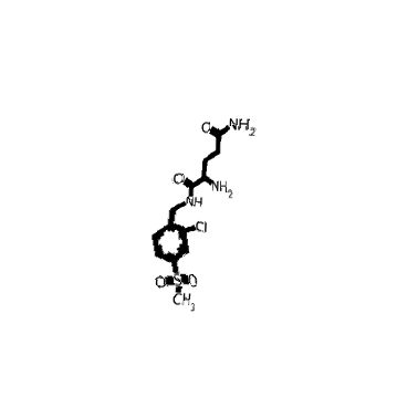 CS(=O)(=O)c1ccc(CNC(=O)C(N)CCC(N)=O)c(Cl)c1